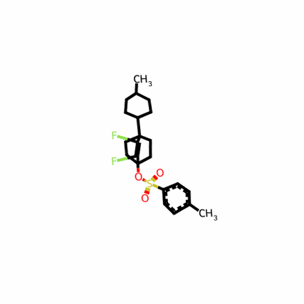 Cc1ccc(S(=O)(=O)OC23CCC(C4CCC(C)CC4)(CC2)C(F)=C3F)cc1